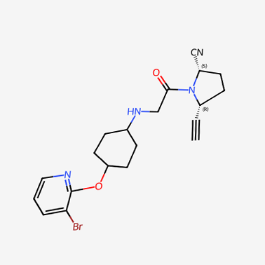 C#C[C@H]1CC[C@@H](C#N)N1C(=O)CNC1CCC(Oc2ncccc2Br)CC1